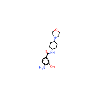 Nc1ccc(C(=O)N[C@H]2CC[C@H](N3CCOCC3)CC2)cc1O